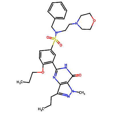 CCCOc1ccc(S(=O)(=O)N(CCN2CCOCC2)Cc2ccccc2)cc1-c1nc2c(CCC)nn(C)c2c(=O)[nH]1